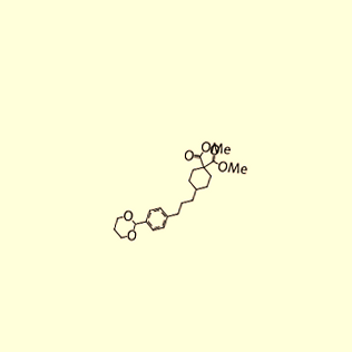 COC(=O)C1(C(=O)OC)CCC(CCCc2ccc(C3OCCCO3)cc2)CC1